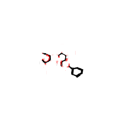 OC1[C@H](O[C@@H]2C3CO[C@H](O3)C(O)[C@H]2O)O[C@H]2COC(c3ccccc3)O[C@H]2[C@@H]1O